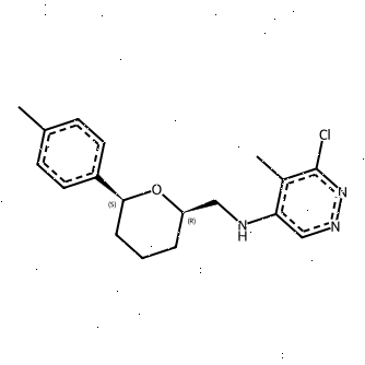 Cc1ccc([C@@H]2CCC[C@H](CNc3cnnc(Cl)c3C)O2)cc1